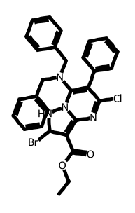 CCOC(=O)C1=C2N=C(Cl)C(c3ccccc3)=C(N(Cc3ccccc3)Cc3ccccc3)N2NC1Br